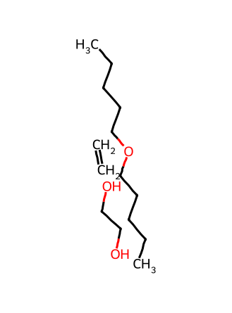 C=C.CCCCCOCCCCC.OCCO